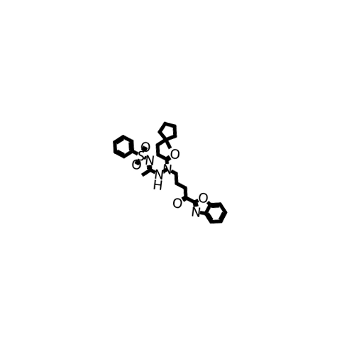 CC(=NS(=O)(=O)c1ccccc1)NN(CCCC(=O)c1nc2ccccc2o1)C(=O)CCC1(C)CCCC1